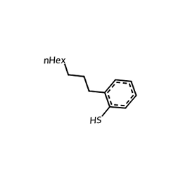 CCCCCCCCCc1ccccc1S